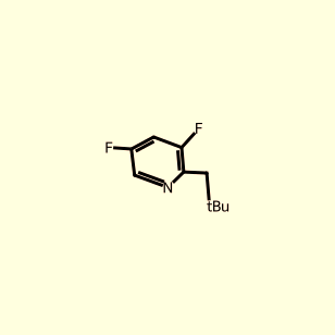 CC(C)(C)Cc1ncc(F)cc1F